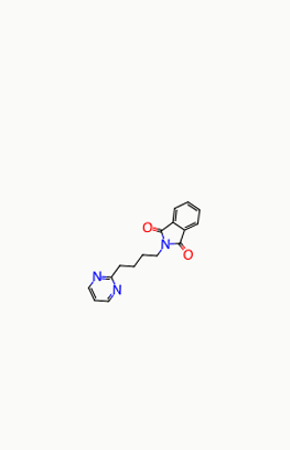 O=C1c2ccccc2C(=O)N1CCCCc1ncccn1